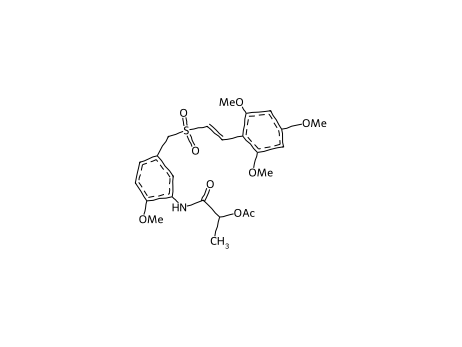 COc1cc(OC)c(C=CS(=O)(=O)Cc2ccc(OC)c(NC(=O)C(C)OC(C)=O)c2)c(OC)c1